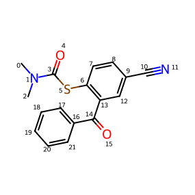 CN(C)C(=O)Sc1ccc(C#N)cc1C(=O)c1ccccc1